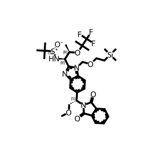 COC[C@H](c1ccc2c(c1)nc([C@@H](N[S@+]([O-])C(C)(C)C)[C@@H](C)OC(C)(C)C(F)(F)F)n2COCC[Si](C)(C)C)N1C(=O)c2ccccc2C1=O